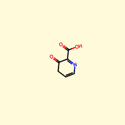 O=C(O)C1=NC=CCC1=O